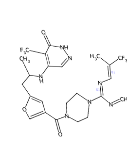 C=N/C(=N\C=C(/C)C(F)(F)F)N1CCN(C(=O)c2coc(CC(C)Nc3cn[nH]c(=O)c3C(F)(F)F)c2)CC1